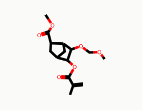 C=C(C)C(=O)OC1C2CC(C(=O)OC)C(C2)C1OCOC